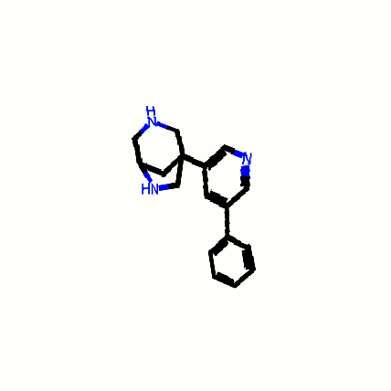 c1ccc(-c2cncc(C34CNCC(C3)NC4)c2)cc1